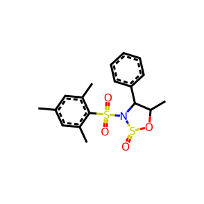 Cc1cc(C)c(S(=O)(=O)N2C(c3ccccc3)C(C)OS2=O)c(C)c1